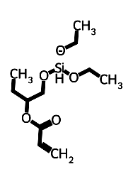 C=CC(=O)OC(CC)CO[SiH](OCC)OCC